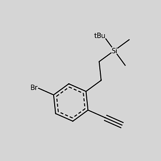 C#Cc1ccc(Br)cc1CC[Si](C)(C)C(C)(C)C